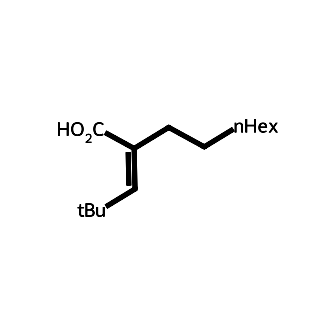 CCCCCCCCC(=CC(C)(C)C)C(=O)O